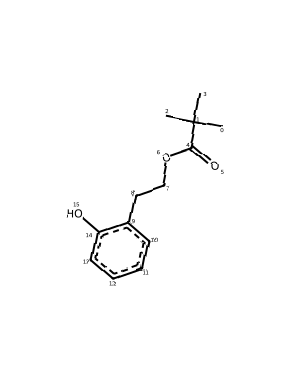 CC(C)(C)C(=O)OC[CH]c1ccccc1O